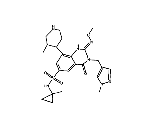 CO/N=c1\[nH]c2c(C3CCNCC3C)cc(S(=O)(=O)NC3(C)CC3)cc2c(=O)n1Cc1cnn(C)c1